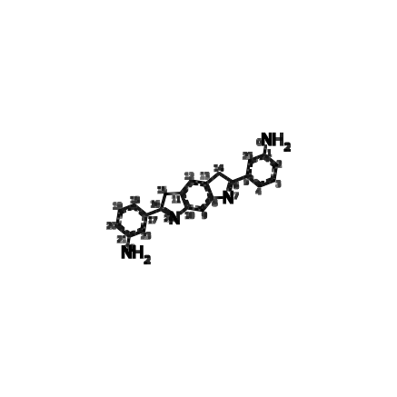 Nc1cccc(C2=Nc3cc4c(cc3C2)CC(c2cccc(N)c2)=N4)c1